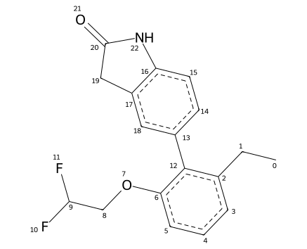 CCc1cccc(OCC(F)F)c1-c1ccc2c(c1)CC(=O)N2